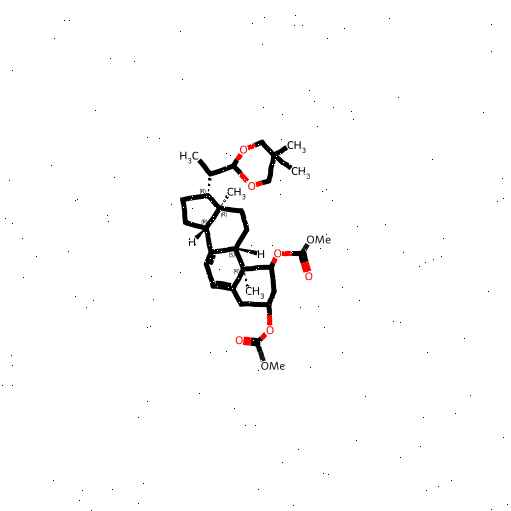 COC(=O)OC1CC2=CC=C3[C@@H]4CC[C@H](C(C)C5OCC(C)(C)CO5)[C@@]4(C)CC[C@@H]3[C@@]2(C)C(OC(=O)OC)C1